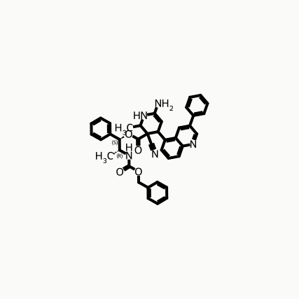 CC1NC(N)=CC(c2cccc3ncc(-c4ccccc4)cc23)C1(C#N)C(=O)O[C@@H](c1ccccc1)[C@@H](C)NC(=O)OCc1ccccc1